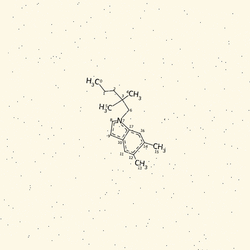 CCCC(C)(C)Cn1ccc2cc(C)c(C)cc21